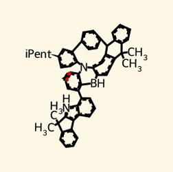 CCC[C@H](C)c1ccc2c(c1)-c1ccc(cc1)C1c3ccccc3C(C)(C)c3cc4c(cc31)N2c1c(c(-c2cccc3c5c([nH]c23)C(C)(C)c2ccccc2-5)cc2ccccc12)B4